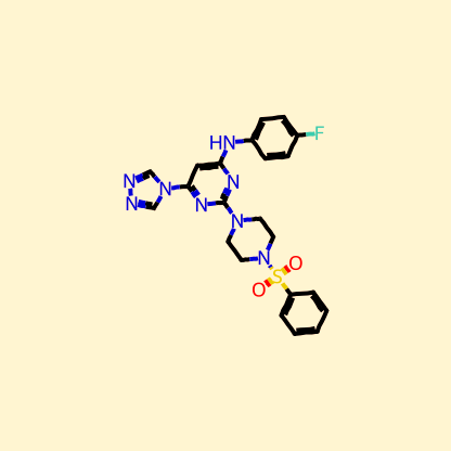 O=S(=O)(c1ccccc1)N1CCN(c2nc(Nc3ccc(F)cc3)cc(-n3cnnc3)n2)CC1